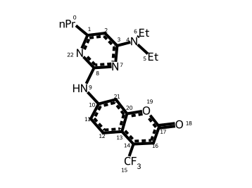 CCCc1cc(N(CC)CC)nc(Nc2ccc3c(C(F)(F)F)cc(=O)oc3c2)n1